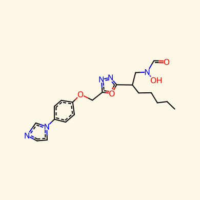 CCCCCC(CN(O)C=O)c1nnc(COc2ccc(-n3ccnc3)cc2)o1